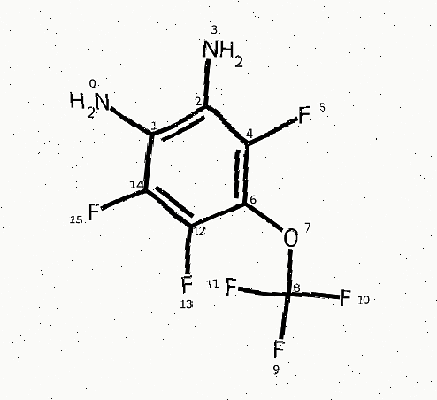 Nc1c(N)c(F)c(OC(F)(F)F)c(F)c1F